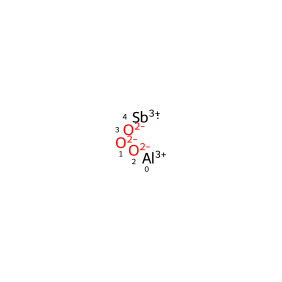 [Al+3].[O-2].[O-2].[O-2].[Sb+3]